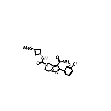 CS[C@H]1C[C@H](NC(=O)N2CCn3nc(-c4cccc(Cl)c4)c(C(N)=O)c3C2)C1